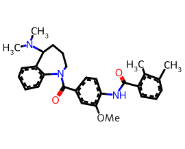 COc1cc(C(=O)N2CCCC(N(C)C)c3ccccc32)ccc1NC(=O)c1cccc(C)c1C